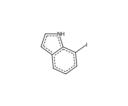 Ic1cccc2cc[nH]c12